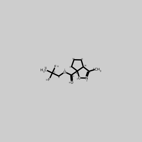 CC1=NOC2(C(=O)OCC(C)(F)F)CCCC12